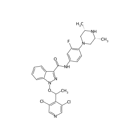 CC(On1nc(C(=O)Nc2ccc(N3C[C@@H](C)N[C@@H](C)C3)c(F)c2)c2ccccc21)c1c(Cl)cncc1Cl